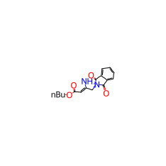 CCCCOC(=O)/C=C(\N)CN1C(=O)c2ccccc2C1=O